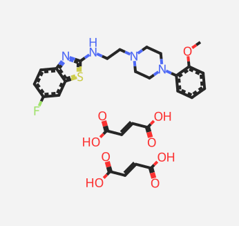 COc1ccccc1N1CCN(CCNc2nc3ccc(F)cc3s2)CC1.O=C(O)C=CC(=O)O.O=C(O)C=CC(=O)O